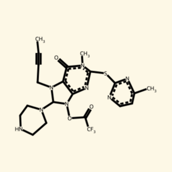 CC#CCN1c2c(nc(Sc3nccc(C)n3)n(C)c2=O)N(OC(=O)C(F)(F)F)C1N1CCNCC1